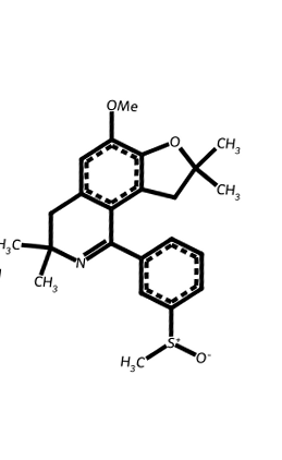 COc1cc2c(c3c1OC(C)(C)C3)C(c1cccc([S+](C)[O-])c1)=NC(C)(C)C2.Cl